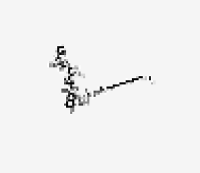 CC[C@H](C)[C@H](NC(=O)[C@H]1CCCCN1C)C(=O)N(C)C(C[C@@H](OC(C)=O)c1nc(C(=O)N[C@H]2Cc3ccc(F)cc3[C@H](C(=O)NNC(=O)OCCSSCCCCCCCCCCCN)C2)cs1)C(C)C